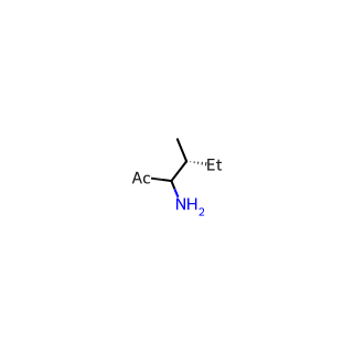 CC[C@@H](C)C(N)C(C)=O